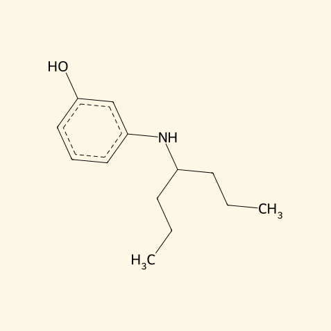 CCCC(CCC)Nc1cccc(O)c1